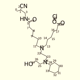 CC(C#N)CNC(=O)CCCCCN(CCCCCC(=O)OCl)CCN(CCO)C1CCCCC1